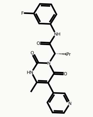 Cc1[nH]c(=O)n([C@H](C(=O)Nc2cccc(F)c2)C(C)C)c(=O)c1-c1cccnc1